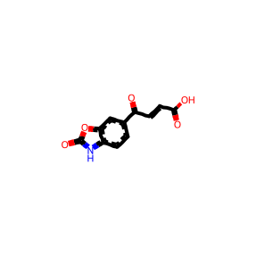 O=C(O)C=CC(=O)c1ccc2[nH]c(=O)oc2c1